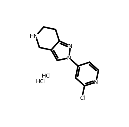 Cl.Cl.Clc1cc(-n2cc3c(n2)CCNC3)ccn1